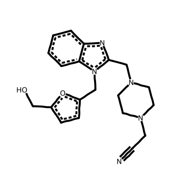 N#CCN1CCN(Cc2nc3ccccc3n2Cc2ccc(CO)o2)CC1